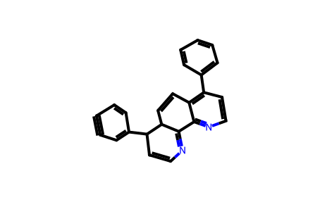 c1ccc(C2C=CN=C3c4nccc(-c5ccccc5)c4C=CC32)cc#1